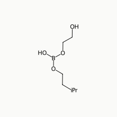 CC(C)CCOB(O)OCCO